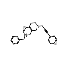 C(#Cc1ccncc1)CN1CCC2=C(CN(Cc3ccccc3)C=N2)C1